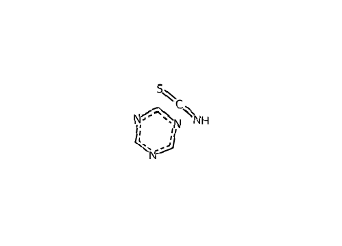 N=C=S.c1ncncn1